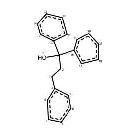 OC(CCc1ccccc1)(c1ccccc1)c1ccccc1